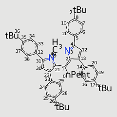 CCCCC/C(=C1/N=C(c2ccc(C(C)(C)C)cc2)C=C1c1ccc(C(C)(C)C)cc1)c1c(-c2ccc(C(C)(C)C)cc2)cc(-c2ccc(C(C)(C)C)cc2)n1C